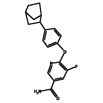 NC(=O)c1cnc(Oc2ccc(C3CC4CCC3C4)cc2)c(F)c1